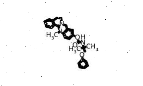 CN1c2ccc(OC(=O)NC(C)(C)COc3ccccc3)cc2CN2CCc3ccccc3C21